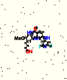 COc1cc2c(cc1CCCO)Nc1cc(Nc3cc(F)nc(F)c3)ccc1C(=O)N2